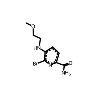 COCCNc1ccc(C(N)=O)nc1Br